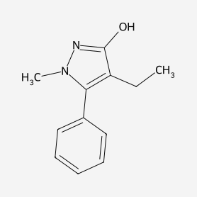 CCc1c(O)nn(C)c1-c1ccccc1